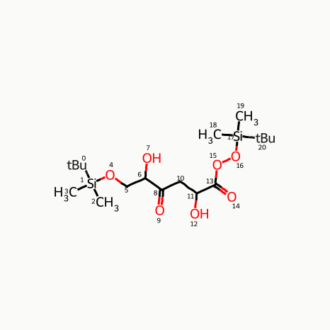 CC(C)(C)[Si](C)(C)OCC(O)C(=O)CC(O)C(=O)OO[Si](C)(C)C(C)(C)C